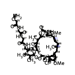 COc1cc2cc(c1Cl)N(C)C(=O)CC(OC(=O)C(C)N(C)C(=O)CNC(=O)CNC(=O)CNC(=O)CON)C1(C)OC1C(C)C1CC(O)(NC(=O)O1)C(OC)/C=C/C=C(\C)C2